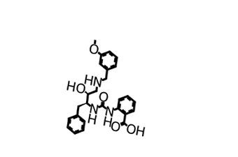 COc1cccc(CNC[C@H](O)[C@H](Cc2ccccc2)NC(=O)Nc2ccccc2C(=O)O)c1